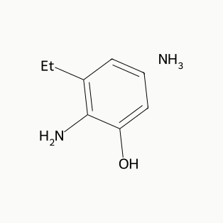 CCc1cccc(O)c1N.N